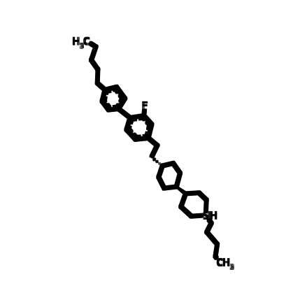 CCCCCc1ccc(-c2ccc(CC[C@H]3CC[C@H](C4CC[SiH](CCCCC)CC4)CC3)cc2F)cc1